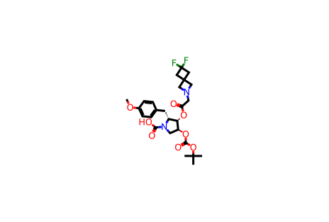 COc1ccc(C[C@@H]2[C@H](OC(=O)CN3CC4(C3)CC(F)(F)C4)[C@@H](OC(=O)OC(C)(C)C)CN2C(=O)O)cc1